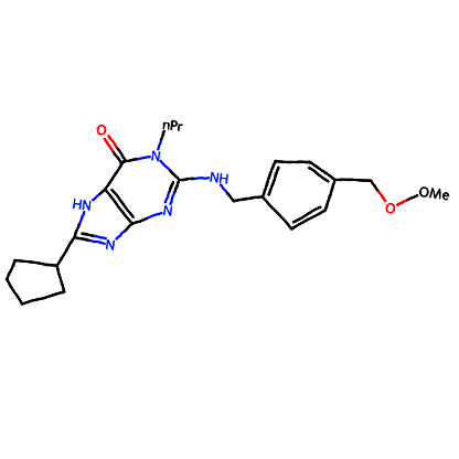 CCCn1c(NCc2ccc(COOC)cc2)nc2nc(C3CCCC3)[nH]c2c1=O